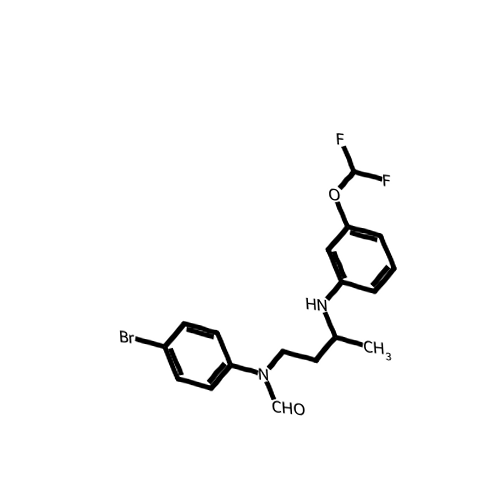 CC(CCN(C=O)c1ccc(Br)cc1)Nc1cccc(OC(F)F)c1